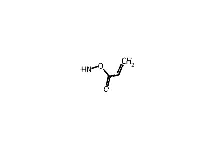 C=CC(=O)O[NH]